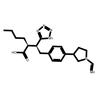 CCCC[C@H](C(=O)O)[C@H](Cc1ccc(C2CCN(C=N)C2)cc1)c1nnn[nH]1